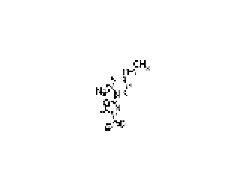 CCOC1CCN(c2nc(C(=O)[O-])co2)CC1.[Na+]